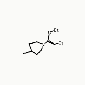 CCC=C(OCC)N1CCC(C)CC1